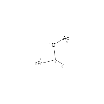 [CH2]C(CCC)OC(C)=O